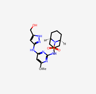 CCS(=O)(=O)N1[C@@H]2CCC[C@H]1C[C@H](Nc1nc(Nc3cc(CO)[nH]n3)cc(OC)n1)C2